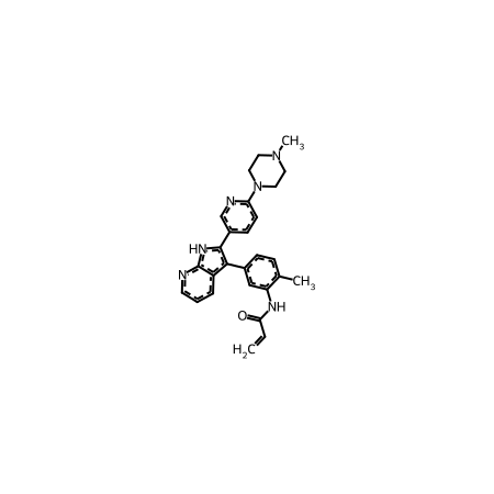 C=CC(=O)Nc1cc(-c2c(-c3ccc(N4CCN(C)CC4)nc3)[nH]c3ncccc23)ccc1C